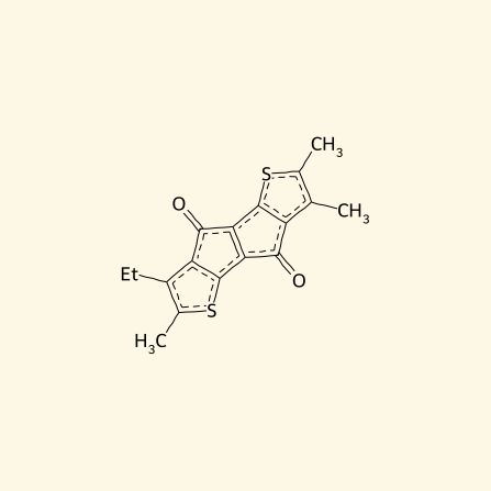 CCc1c(C)sc2c3c(=O)c4c(C)c(C)sc4c=3c(=O)c12